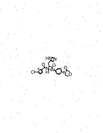 O=C(NC(Cc1cnc[nH]1)C(=O)Nc1ccc(N2CCOCC2=O)cc1)c1ccc(Cl)s1